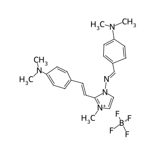 CN(C)c1ccc(C=Cc2n(N=Cc3ccc(N(C)C)cc3)cc[n+]2C)cc1.F[B-](F)(F)F